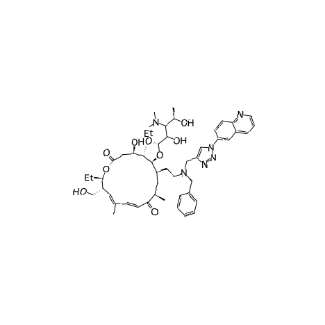 CCO[C@@H](O[C@H]1[C@@H](CCN(Cc2ccccc2)Cc2cn(-c3ccc4ncccc4c3)nn2)C[C@@H](C)C(=O)/C=C/C(C)=C/[C@H](CO)[C@@H](CC)OC(=O)C[C@@H](O)[C@@H]1C)C(O)C([C@@H](C)O)N(C)C